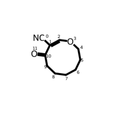 N#C/C1=C/OCCCCCCC1=O